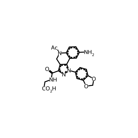 CC(=O)N1Cc2c(C(=O)NCC(=O)O)nn(-c3ccc4c(c3)OCO4)c2-c2cc(N)ccc21